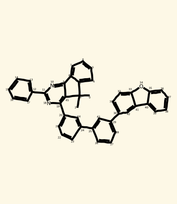 CC1(C)c2ccccc2-c2nc(-c3ccccc3)nc(-c3cccc(-c4cccc(-c5ccc6oc7ccccc7c6c5)c4)c3)c21